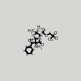 CC1(C)S[C@H]2N(C(=O)C2(N)C(=O)c2ccccc2)[C@H]1C(=O)OCC(Cl)(Cl)Cl